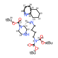 CC(C)(C)OC(=O)N(CCCCN(C[C@@H]1CNCCN1C(=O)OC(C)(C)C)[C@H]1CCCc2cccnc21)C(=O)OC(C)(C)C